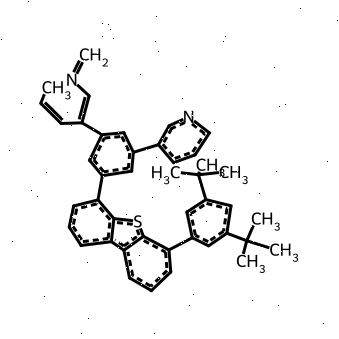 C=N/C=C(\C=C/C)c1cc(-c2cccnc2)cc(-c2cccc3c2sc2c(-c4cc(C(C)(C)C)cc(C(C)(C)C)c4)cccc23)c1